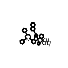 CC1(C)c2ccccc2C2(c3ccc(-c4ccc5ccccc5c4)cc3-c3c(C4=NC(c5ccccc5)=CC(c5ccccc5)=CC4)cccc32)c2ccccc21